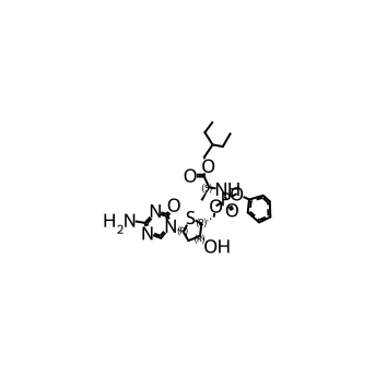 CCC(CC)COC(=O)[C@H](C)NP(=O)(OC[C@H]1S[C@@H](n2cnc(N)nc2=O)C[C@H]1O)Oc1ccccc1